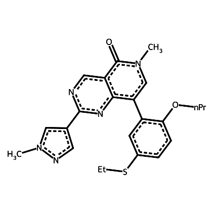 CCCOc1ccc(SCC)cc1-c1cn(C)c(=O)c2cnc(-c3cnn(C)c3)nc12